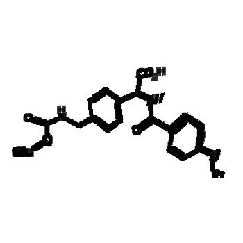 CC(C)Oc1ccc(C(=O)NC(C(=O)O)c2ccc(CNC(=O)OC(C)(C)C)cc2)cc1